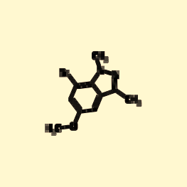 COc1cc(Br)c2c(c1)c(C)nn2C